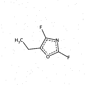 CCc1oc(F)nc1F